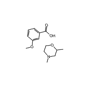 CC1CN(C)CCO1.COc1cccc(C(=O)O)c1